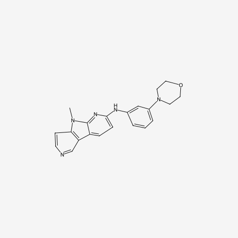 Cn1c2ccncc2c2ccc(Nc3cccc(N4CCOCC4)c3)nc21